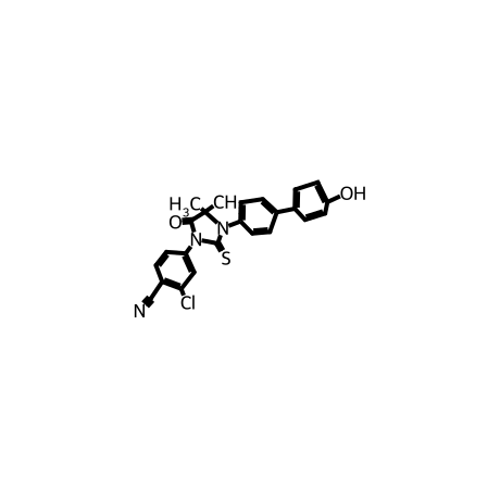 CC1(C)C(=O)N(c2ccc(C#N)c(Cl)c2)C(=S)N1c1ccc(-c2ccc(O)cc2)cc1